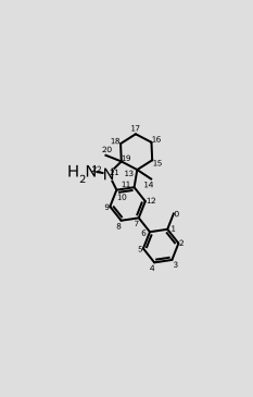 Cc1ccccc1-c1ccc2c(c1)C1(C)CCCCC1(C)N2N